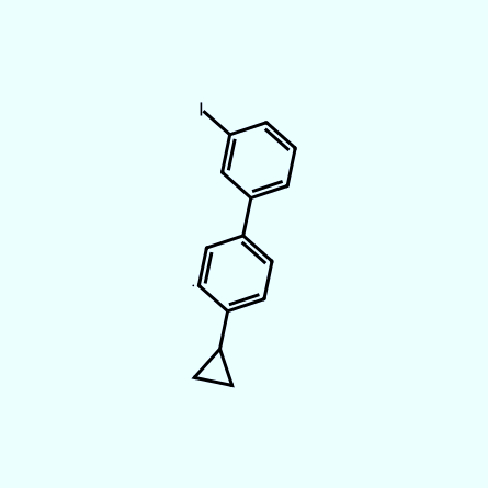 Ic1cccc(-c2c[c]c(C3CC3)cc2)c1